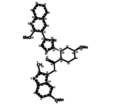 COc1ccc2nc(C)n(CC(=O)N3CC[C@H](OC)C[C@H]3c3ncc(-c4cc5ccccc5nc4OC)[nH]3)c2c1